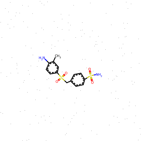 Cc1cc(S(=O)(=O)Cc2ccc(S(N)(=O)=O)cc2)ccc1N